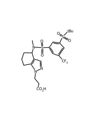 CN(C1CCCc2c1cnn2CCC(=O)O)S(=O)(=O)c1cc(C(F)(F)F)cc(S(=O)(=O)C(C)(C)C)c1